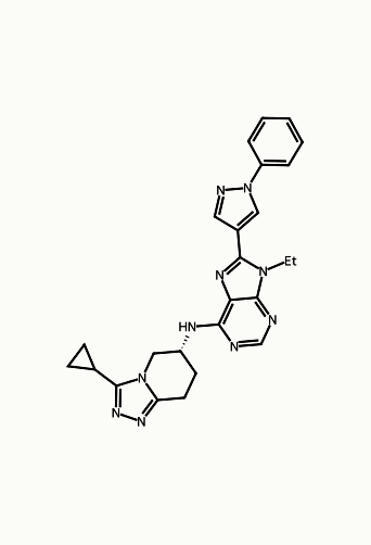 CCn1c(-c2cnn(-c3ccccc3)c2)nc2c(N[C@@H]3CCc4nnc(C5CC5)n4C3)ncnc21